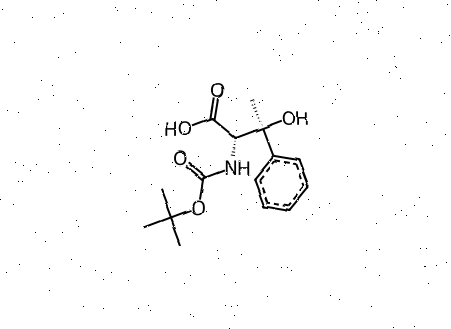 CC(C)(C)OC(=O)N[C@H](C(=O)O)[C@@](C)(O)c1ccccc1